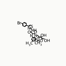 Cc1cc2nc(C(=O)Nc3nc(-c4ccc(Br)cc4)cs3)c(=O)n(C[C@H](O)[C@H](O)[C@H](O)CO)c2cc1C